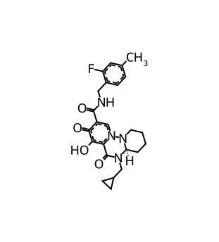 Cc1ccc(CNC(=O)c2cn3c(c(O)c2=O)C(=O)N(CC2CC2)[C@@H]2CCCCN23)c(F)c1